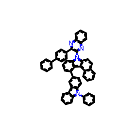 c1ccc(-c2ccc(-c3nc4ccccc4nc3-n3c4cccc(-c5ccc6c(c5)c5ccccc5n6-c5ccccc5)c4c4c5ccccc5ccc43)cc2)cc1